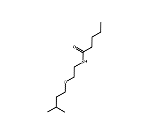 CCCCC(=O)NCCOCCC(C)C